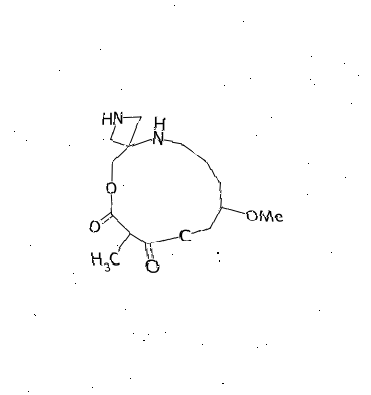 COC1CCCNC2(CNC2)COC(=O)C(C)C(=O)CC1